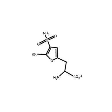 CC(C)(C)c1oc(CC(N)C(=O)O)cc1S(N)(=O)=O